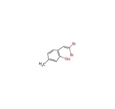 Cc1ccc(C=C(Br)Br)c(O)c1